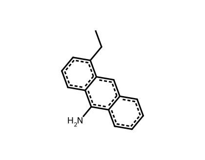 CCc1cccc2c(N)c3ccccc3cc12